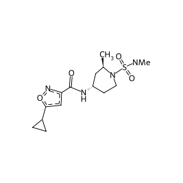 CNS(=O)(=O)N1CC[C@H](NC(=O)c2cc(C3CC3)on2)C[C@H]1C